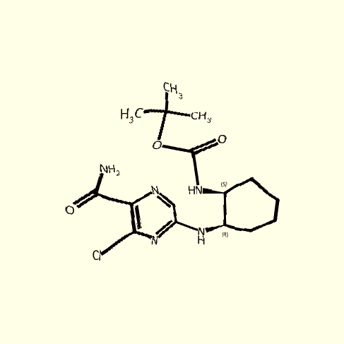 CC(C)(C)OC(=O)N[C@H]1CCCC[C@H]1Nc1cnc(C(N)=O)c(Cl)n1